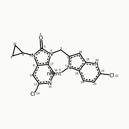 CCCCCn1c(Cn2c(=O)n(C3CC3)c3cc(Cl)ncc32)cc2nc(Cl)ccc21